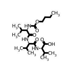 CCCCOC(=O)N[C@H](C(=O)N[C@H](C(=O)N[C@H](C(=O)O)C(C)C)C(C)C)C(C)C